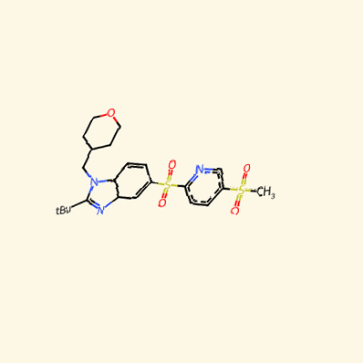 CC(C)(C)C1=NC2C=C(S(=O)(=O)c3ccc(S(C)(=O)=O)cn3)C=CC2N1CC1CCOCC1